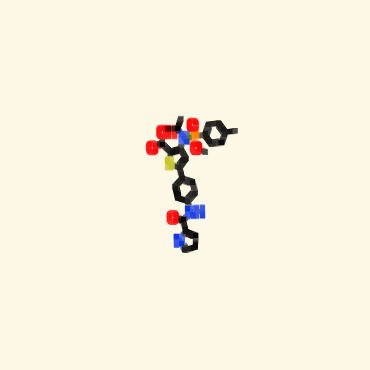 COP(=O)(c1ccc(C)cc1)N(c1cc(-c2ccc(NC(=O)C3=CCC=N3)cc2)sc1C(=O)O)C(C)C